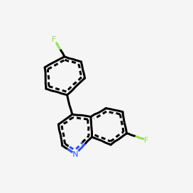 Fc1ccc(-c2ccnc3cc(F)ccc23)cc1